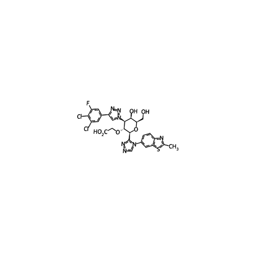 Cc1nc2ccc(-n3cnnc3[C@@H]3O[C@H](CO)[C@H](O)[C@H](n4cc(-c5cc(F)c(Cl)c(Cl)c5)nn4)[C@H]3OCC(=O)O)cc2s1